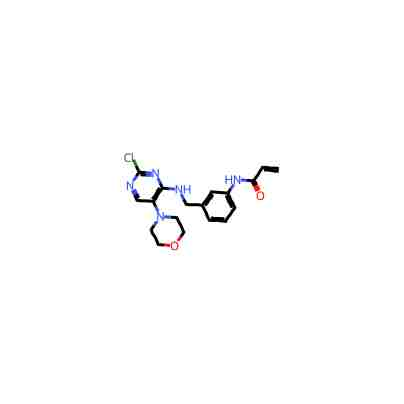 C=CC(=O)Nc1cccc(CNc2nc(Cl)ncc2N2CCOCC2)c1